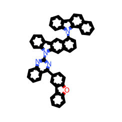 c1cc(-n2c3ccccc3c3ccc4ccccc4c32)c2cc3c4ccccc4n(-c4nc(-c5ccc6oc7ccccc7c6c5)c5ccccc5n4)c3cc2c1